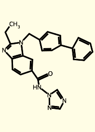 CCc1nc2ccc(C(=O)Nn3cncn3)cc2n1Cc1ccc(-c2ccccc2)cc1